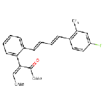 COC=C(C(=O)OC)c1ccccc1C=CC=Cc1ccc(F)cc1C(F)(F)F